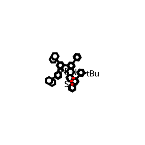 CC(C)(C)c1ccc(N2c3cc4c(cc3B3c5c(cc(-c6ccccc6)cc52)-c2cc(C56CCCC(CCC5)C6)cc5c6cc(C78CCCC(CCC7)C8)ccc6n3c25)sc2ccccc24)c(-c2ccccc2)c1